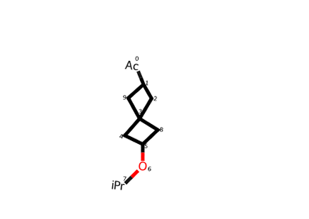 CC(=O)C1CC2(CC(OC(C)C)C2)C1